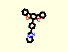 c1ccc2c(c1)oc1c(-c3ccc(-c4cn5ccccc5n4)cc3)c3oc4ccccc4c3cc12